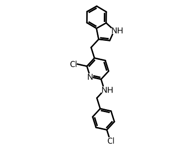 Clc1ccc(CNc2ccc(Cc3c[nH]c4ccccc34)c(Cl)n2)cc1